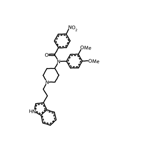 COc1ccc(N(C(=O)c2ccc([N+](=O)[O-])cc2)C2CCN(CCc3c[nH]c4ccccc34)CC2)cc1OC